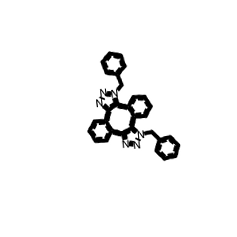 c1ccc(Cn2nnc3/c2=c2/cccc/c2=c2/c(nnn2Cc2ccccc2)=c2/cccc/c2=3)cc1